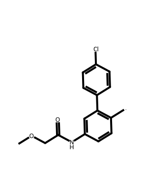 [CH2]c1ccc(NC(=O)COC)cc1-c1ccc(Cl)cc1